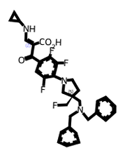 O=C(O)/C(=C\NC1CC1)C(=O)c1cc(F)c(N2CC[C@](CF)(CN(Cc3ccccc3)Cc3ccccc3)C2)c(F)c1F